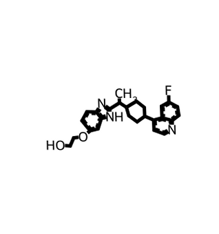 CC(c1nc2ccc(OCCO)cc2[nH]1)C1CCC(c2ccnc3ccc(F)cc23)CC1